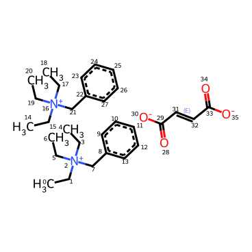 CC[N+](CC)(CC)Cc1ccccc1.CC[N+](CC)(CC)Cc1ccccc1.O=C([O-])/C=C/C(=O)[O-]